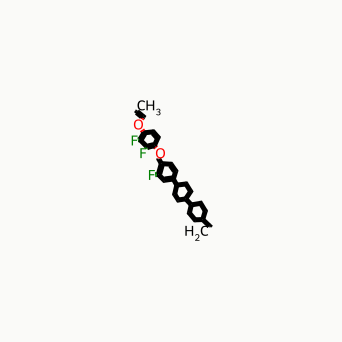 C=CC1CCC(C2CCC(c3ccc(COc4ccc(O/C=C/C)c(F)c4F)c(F)c3)CC2)CC1